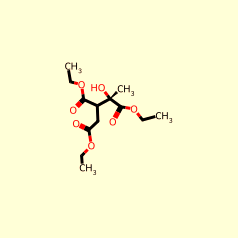 CCOC(=O)CC(C(=O)OCC)[C@](C)(O)C(=O)OCC